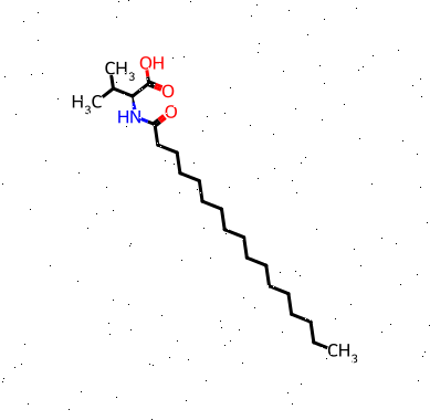 CCCCCCCCCCCCCCCCC(=O)N[C@H](C(=O)O)C(C)C